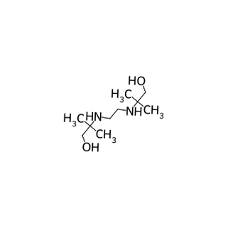 CC(C)(CO)NCCNC(C)(C)CO